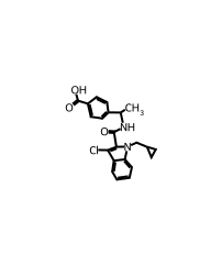 CC(NC(=O)c1c(Cl)c2ccccc2n1CC1CC1)c1ccc(C(=O)O)cc1